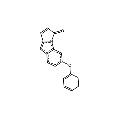 O=C1C=Cc2cc3ccc(OC4=CC=CCC4)cc3n21